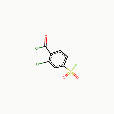 O=C(Cl)c1ccc(S(=O)(=O)F)cc1Cl